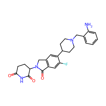 Nc1ccccc1CN1CCC(c2cc3c(cc2F)C(=O)N(C2CCC(=O)NC2=O)C3)CC1